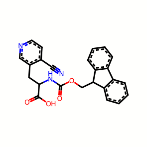 N#Cc1ccncc1CC(NC(=O)OCC1c2ccccc2-c2ccccc21)C(=O)O